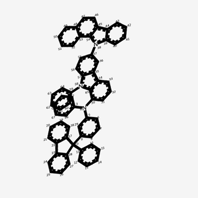 c1ccc(N(c2cccc(C3(c4ccccc4)c4ccccc4-c4ccccc43)c2)c2cccc3c4cc(-n5c6ccccc6c6ccc7ccccc7c65)ccc4n(-c4ccccc4)c23)cc1